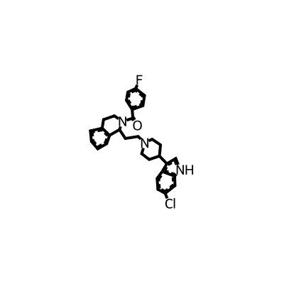 O=C(c1ccc(F)cc1)N1CCc2ccccc2C1CCN1CCC(c2c[nH]c3cc(Cl)ccc23)CC1